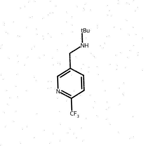 CC(C)(C)NCc1ccc(C(F)(F)F)nc1